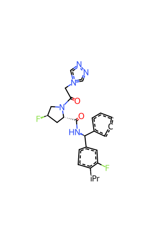 CC(C)c1ccc([C@@H](NC(=O)[C@@H]2C[C@@H](F)CN2C(=O)Cn2cnnc2)c2ccccc2)cc1F